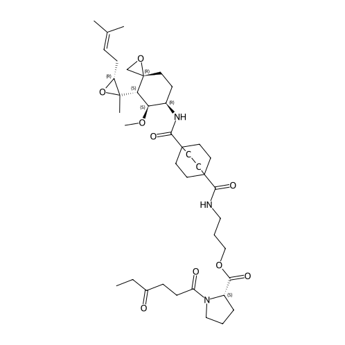 CCC(=O)CCC(=O)N1CCC[C@H]1C(=O)OCCCNC(=O)C12CCC(C(=O)N[C@@H]3CC[C@]4(CO4)[C@@H](C4(C)O[C@@H]4CC=C(C)C)[C@@H]3OC)(CC1)CC2